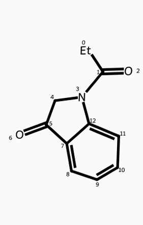 CCC(=O)N1CC(=O)c2ccccc21